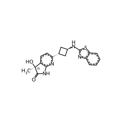 C[C@@]1(O)C(=O)Nc2nc([C@H]3C[C@H](Nc4nc5ccccc5s4)C3)ccc21